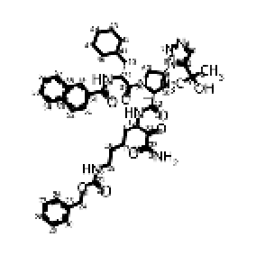 CC(C)(O)c1cnnn1[C@@H]1C[C@@H](C(=O)NC(CCCCNC(=O)OCc2ccccc2)C(=O)C(N)=O)N(C(=O)[C@@H](CC2CCCCC2)NC(=O)c2ccc3ccccc3c2)C1